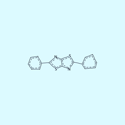 c1ccc(-c2nc3sc(-c4ccccc4)nc3s2)cc1